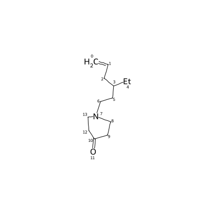 C=CCC(CC)CCN1CCC(=O)CC1